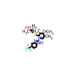 COc1c(C)c[n+](-c2nc3cc(C(F)(F)F)ccc3[nH]2)c(CSCC(C)(C)O)c1C